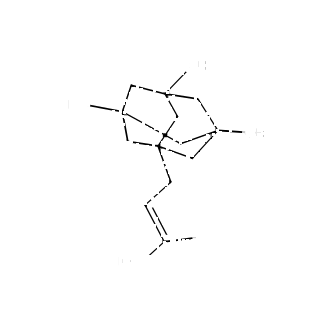 CC(=CCC12CC3(C)CC(O)(CC(O)(C3)C1)C2)C(=O)O